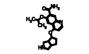 CC(C)Oc1cc2c(OC3CCC4CNCC43)ccnc2cc1C(N)=O